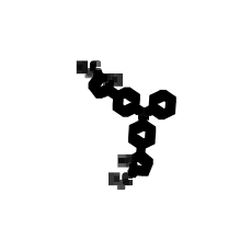 Cc1ccc(-c2ccc(N(c3ccccc3)c3ccc(-c4ccc(C)[nH]4)cc3)cc2)[nH]1